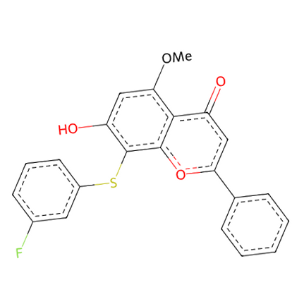 COc1cc(O)c(Sc2cccc(F)c2)c2oc(-c3ccccc3)cc(=O)c12